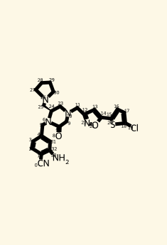 N#Cc1ccc(CN2C(=O)CN(Cc3cc(-c4ccc(Cl)s4)on3)C[C@@H]2CN2CCCC2)cc1N